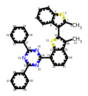 Cc1sc2ccccc2c1-c1sc2c(-c3nc(-c4ccccc4)nc(-c4ccccc4)n3)cccc2c1C